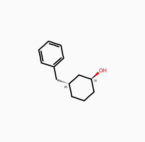 O[C@H]1CCC[C@H](Cc2ccccc2)C1